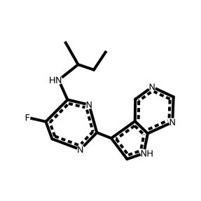 CCC(C)Nc1nc(-c2c[nH]c3ncncc23)ncc1F